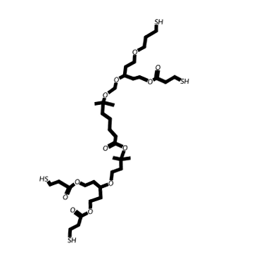 CC(C)(CCCCC(=O)OC(C)(C)CCOC(CCOC(=O)CCS)CCOC(=O)CCS)OCOC(CCOCCCS)CCOC(=O)CCS